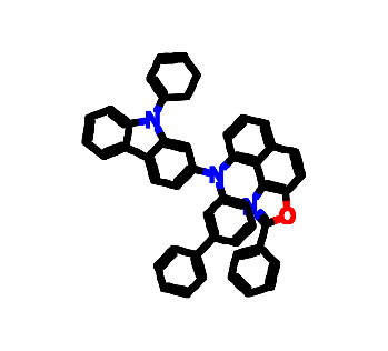 C1=CCCC(n2c3ccccc3c3ccc(N(c4cccc(-c5ccccc5)c4)c4cccc5ccc6oc(-c7ccccc7)nc6c45)cc32)=C1